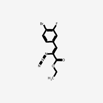 CCOC(=O)C(=Cc1ccc(Br)c(F)c1)N=[N+]=[N-]